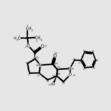 CC(C)(C)OC(=O)[C@@H]1CCC2C[C@H]3CON(Cc4ccccc4)C3C(=O)N21